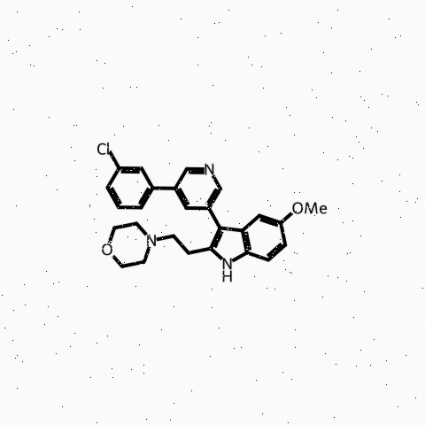 COc1ccc2[nH]c(CCN3CCOCC3)c(-c3cncc(-c4cccc(Cl)c4)c3)c2c1